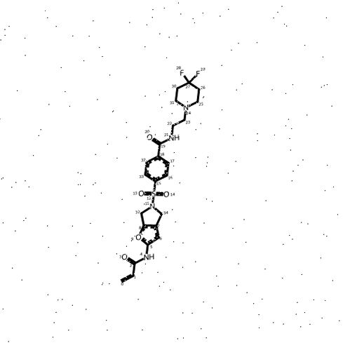 C=CC(=O)Nc1cc2c(o1)CN(S(=O)(=O)c1ccc(C(=O)NCCN3CCC(F)(F)CC3)cc1)C2